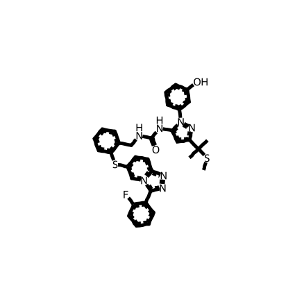 CSC(C)(C)c1cc(NC(=O)NCc2ccccc2Sc2ccc3nnc(-c4ccccc4F)n3c2)n(-c2cccc(O)c2)n1